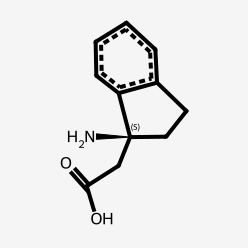 N[C@]1(CC(=O)O)CCc2ccccc21